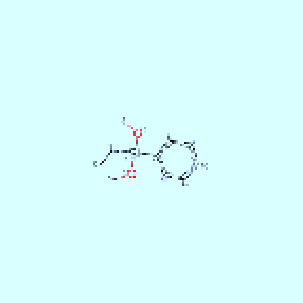 CC[Si](OC)(OC)c1cc[c]cc1